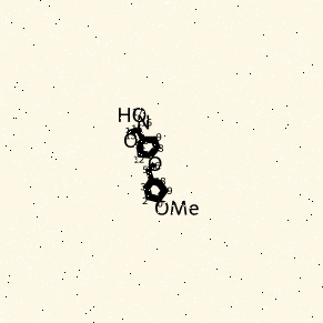 COc1ccc(COc2ccc3c(c2)OCC3=NO)cc1